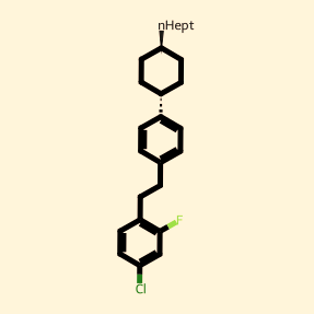 CCCCCCC[C@H]1CC[C@H](c2ccc(CCc3ccc(Cl)cc3F)cc2)CC1